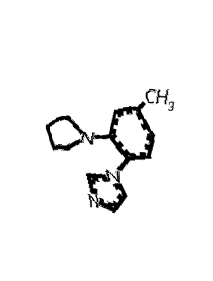 Cc1ccc(-n2ccnc2)c(N2CCCC2)c1